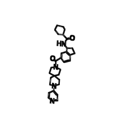 O=C(NC1CCc2ccc(C(=O)N3CCC4(CC3)CCN(c3ccncc3)CC4)cc21)C1CCCCC1